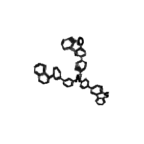 c1cc(-c2cccc(N(c3ccc(-c4ccc5oc6ccccc6c5c4)cc3)c3ccc(-c4ccc5sc6ccccc6c5c4)cc3)c2)cc(-c2cccc3ccccc23)c1